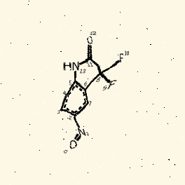 O=Nc1ccc2c(c1)C(F)(F)C(=O)N2